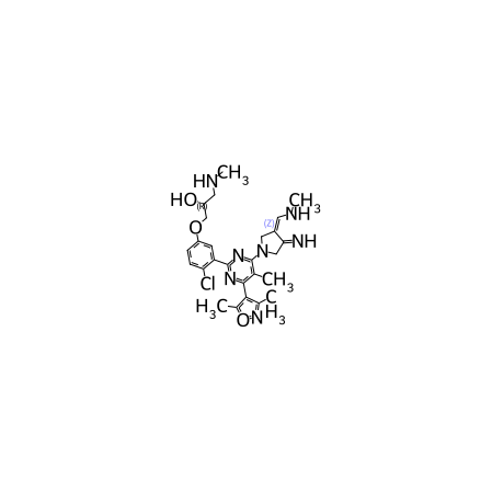 CN/C=C1/CN(c2nc(-c3cc(OC[C@H](O)CNC)ccc3Cl)nc(-c3c(C)noc3C)c2C)CC1=N